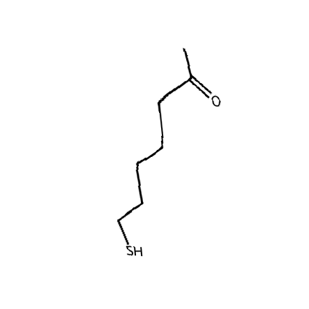 CC(=O)CCCCCS